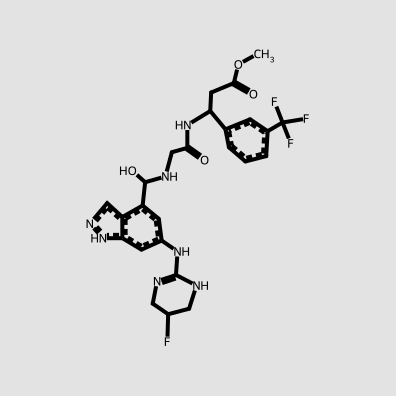 COC(=O)CC(NC(=O)CNC(O)c1cc(NC2=NCC(F)CN2)cc2[nH]ncc12)c1cccc(C(F)(F)F)c1